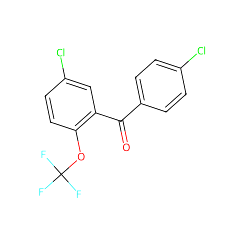 O=C(c1ccc(Cl)cc1)c1cc(Cl)ccc1OC(F)(F)F